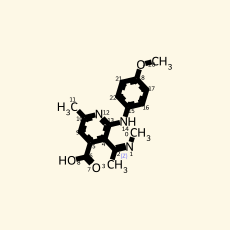 C/N=C(/C)c1c(C(=O)O)cc(C)nc1Nc1ccc(OC)cc1